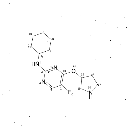 Fc1cnc(NC2CCCCC2)nc1OC1CCNC1